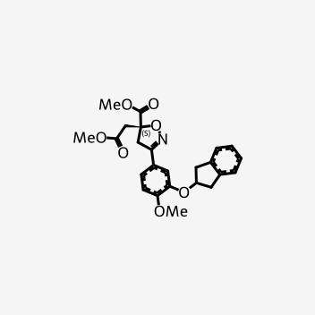 COC(=O)C[C@]1(C(=O)OC)CC(c2ccc(OC)c(OC3Cc4ccccc4C3)c2)=NO1